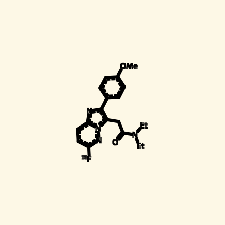 CCN(CC)C(=O)Cc1c(-c2ccc(OC)cc2)nc2ccc([18F])nn12